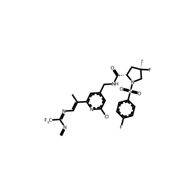 C=N/C(=N\C=C(/C)c1cc(CNC(=O)[C@@H]2C[C@@](C)(F)CN2S(=O)(=O)c2ccc(F)cc2)cc(Cl)n1)C(F)(F)F